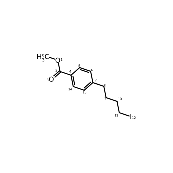 COC(=O)c1ccc(CCCCI)cc1